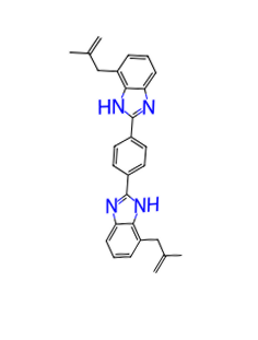 C=C(C)Cc1cccc2nc(-c3ccc(-c4nc5cccc(CC(=C)C)c5[nH]4)cc3)[nH]c12